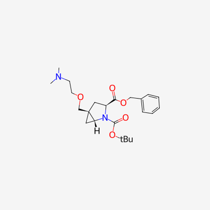 CN(C)CCOC[C@@]12C[C@@H](C(=O)OCc3ccccc3)N(C(=O)OC(C)(C)C)[C@@H]1C2